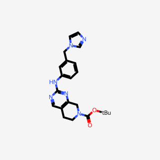 CC(C)(C)OC(=O)N1CCc2cnc(Nc3cccc(Cn4ccnc4)c3)nc2C1